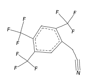 N#CCc1cc(C(F)(F)F)c(C(F)(F)F)cc1C(F)(F)F